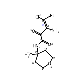 CC/C(Cl)=C(\N)C(=O)C(=O)NC1(C)CCOCC1